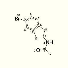 CC(=O)NC1Cc2ccc(Br)cc2C1